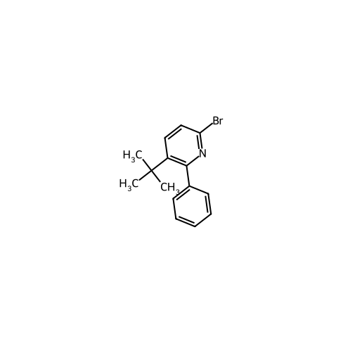 CC(C)(C)c1ccc(Br)nc1-c1ccccc1